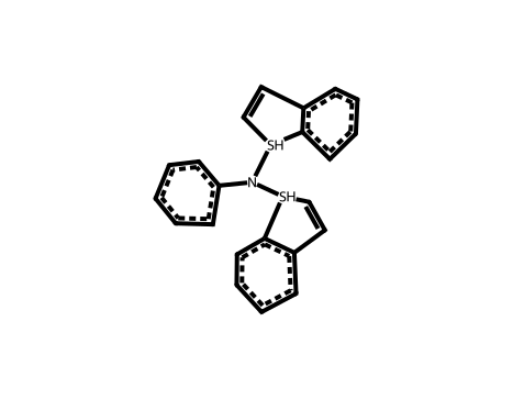 C1=C[SH](N(c2ccccc2)[SH]2C=Cc3ccccc32)c2ccccc21